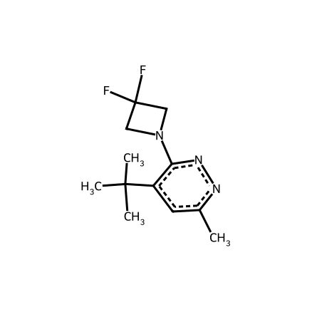 Cc1cc(C(C)(C)C)c(N2CC(F)(F)C2)nn1